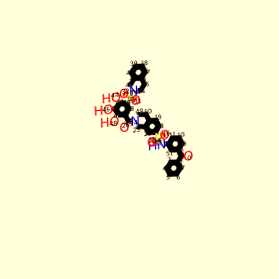 O=C(c1ccccc1)c1cccc(NS(=O)(=O)c2ccc3c(c2)CN(C(=O)c2cc(S(=O)(=O)N4CCc5ccccc5C4)c(O)c(O)c2O)CC3)c1